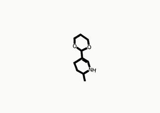 CC1CCC(C2OCCCO2)=CN1